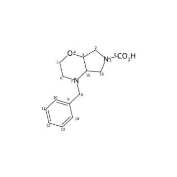 O=C(O)N1CC2OCCN(Cc3ccccc3)C2C1